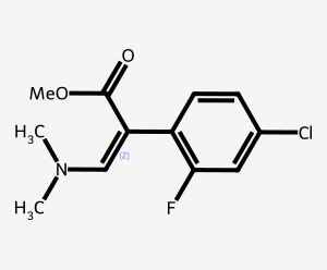 COC(=O)/C(=C\N(C)C)c1ccc(Cl)cc1F